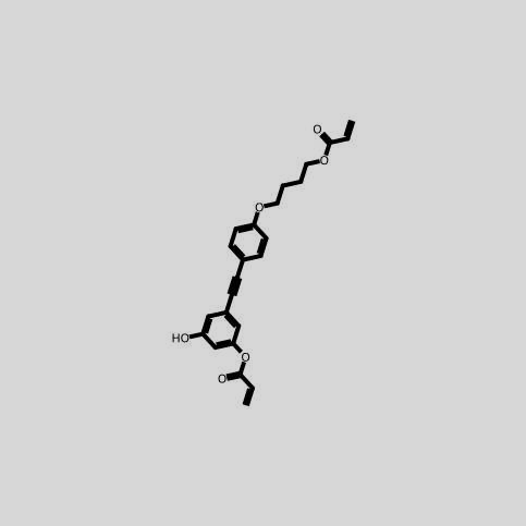 C=CC(=O)OCCCCOc1ccc(C#Cc2cc(O)cc(OC(=O)C=C)c2)cc1